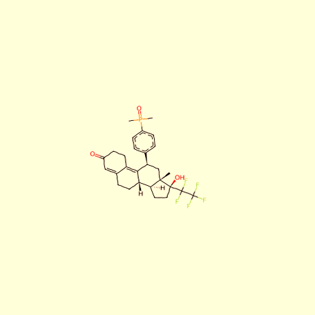 C[C@]12C[C@H](c3ccc(P(C)(C)=O)cc3)C3=C4CCC(=O)C=C4CC[C@H]3[C@@H]1CC[C@@]2(O)C(F)(F)C(F)(F)F